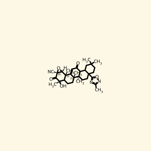 Cc1noc(C23CCC(C)(C)CC2C2C(=O)C=C4[C@]5(C)C(CC[C@@]4(C)[C@]2(C)CC3)[C@](C)(O)C(=O)[C@]2(C#N)O[C@@H]25)n1